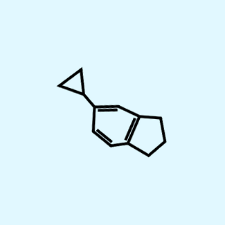 c1cc2c(cc1C1CC1)CCC2